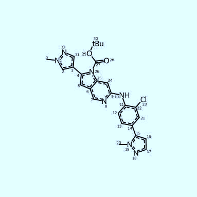 Cn1cc(-c2cc3cnc(Nc4ccc(-c5ccnn5C)cc4Cl)cc3n2C(=O)OC(C)(C)C)cn1